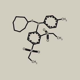 CCS(=O)(=O)c1ccc(N(SC2CCCCCC2)c2ccc(C)cc2)c(S(=O)(=O)CC)c1